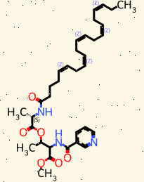 CC/C=C\C/C=C\C/C=C\C/C=C\C/C=C\CCCC(=O)N[C@@H](C)C(=O)OC(C)C(NC(=O)c1cccnc1)C(=O)OC